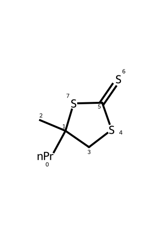 CCCC1(C)CSC(=S)S1